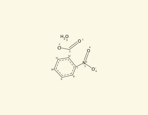 O.O=CCl.O=[N+]([O-])c1ccccc1